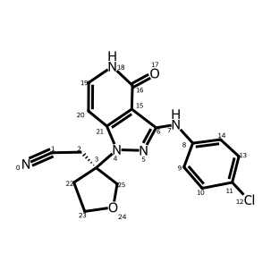 N#CC[C@@]1(n2nc(Nc3ccc(Cl)cc3)c3c(=O)[nH]ccc32)CCOC1